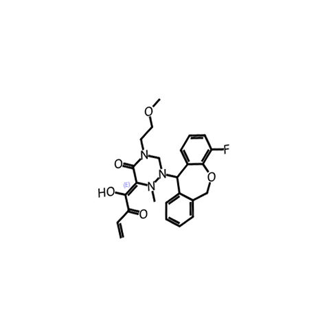 C=CC(=O)/C(O)=C1/C(=O)N(CCOC)CN(C2c3ccccc3COc3c(F)cccc32)N1C